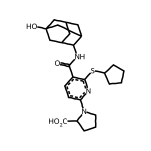 O=C(NC1C2CC3CC1CC(O)(C3)C2)c1ccc(N2CCCC2C(=O)O)nc1SC1CCCC1